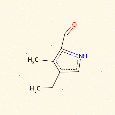 CCc1c[nH]c(C=O)c1C